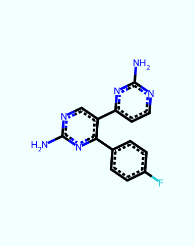 Nc1nccc(-c2cnc(N)nc2-c2ccc(F)cc2)n1